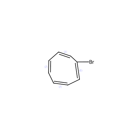 BrC1=C/C=C\C=C/C=C\1